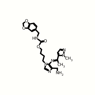 C/C(=N\c1c(CN)ncn1CCCCOC(=O)NCc1ccc2c(c1)OCO2)c1ccnn1C